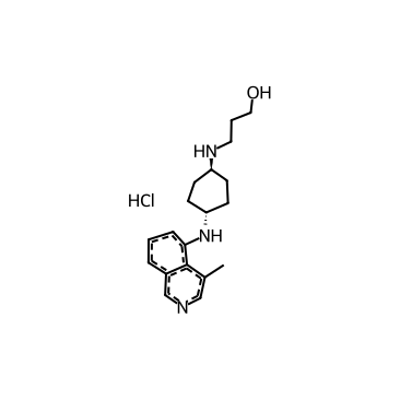 Cc1cncc2cccc(N[C@H]3CC[C@H](NCCCO)CC3)c12.Cl